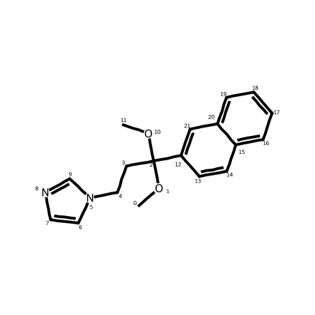 COC(CCn1ccnc1)(OC)c1ccc2ccccc2c1